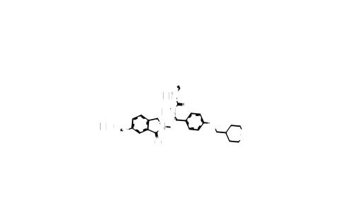 COc1ccc2c(c1)C(=O)N(C[C@H](NC(=O)NC=O)c1ccc(OCC3CCOCC3)cc1)C2